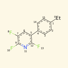 CCc1ccc(-c2cc(F)c(F)nc2F)cc1